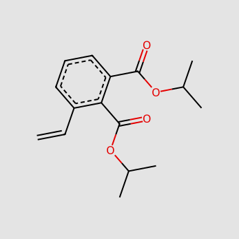 C=Cc1cccc(C(=O)OC(C)C)c1C(=O)OC(C)C